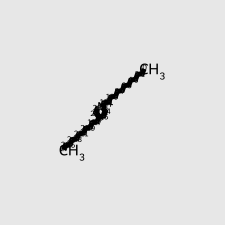 CCCCCCCCCCCCC[n+]1ccc(CCCCCCCCCCC)cc1